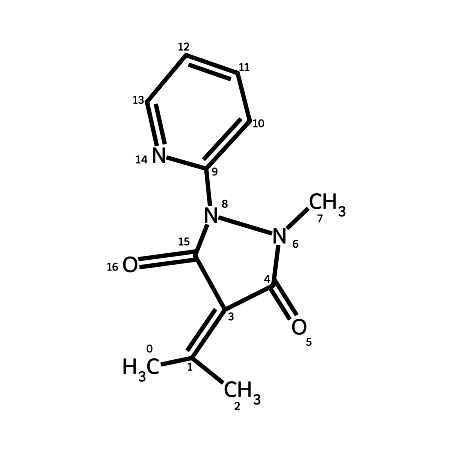 CC(C)=C1C(=O)N(C)N(c2ccccn2)C1=O